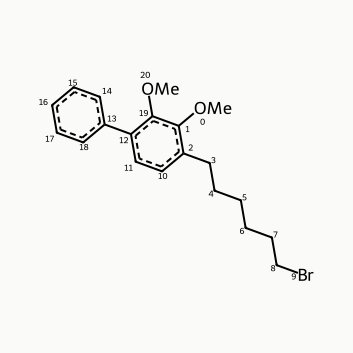 COc1c(CCCCCCBr)ccc(-c2ccccc2)c1OC